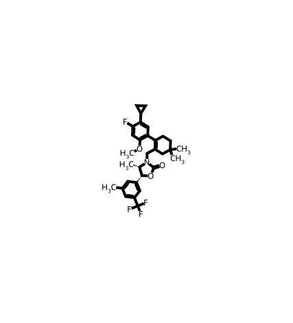 COc1cc(F)c(C2CC2)cc1C1=C(CN2C(=O)O[C@H](c3cc(C)cc(C(F)(F)F)c3)[C@@H]2C)CC(C)(C)CC1